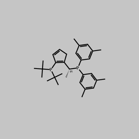 Cc1cc(C)cc(P(c2cc(C)cc(C)c2)[C@H](C)C2=C(P(C(C)(C)C)C(C)(C)C)C=CC2)c1